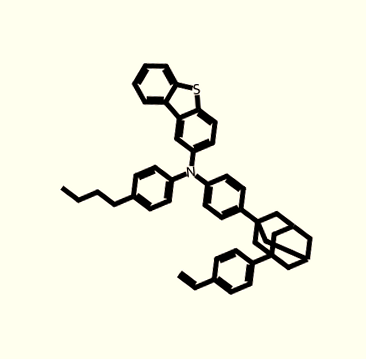 C=Cc1ccc(C23CC4CC(C2)CC(c2ccc(N(c5ccc(CCCC)cc5)c5ccc6sc7ccccc7c6c5)cc2)(C4)C3)cc1